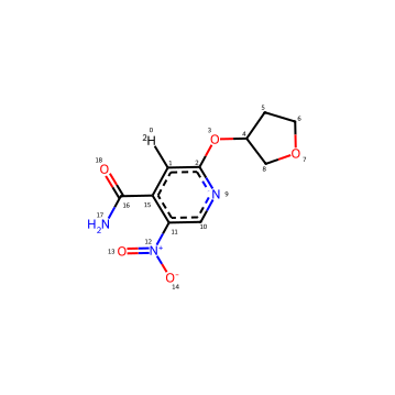 [2H]c1c(OC2CCOC2)ncc([N+](=O)[O-])c1C(N)=O